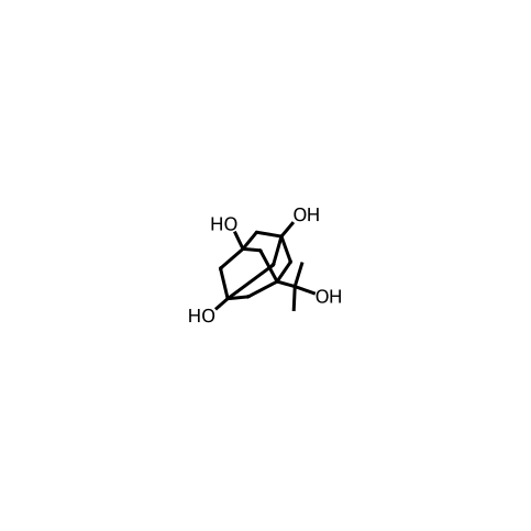 CC(C)(O)C12CC3(O)CC(O)(CC(O)(C3)C1)C2